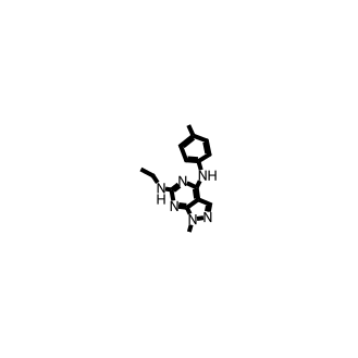 CCNc1nc(Nc2ccc(C)cc2)c2cnn(C)c2n1